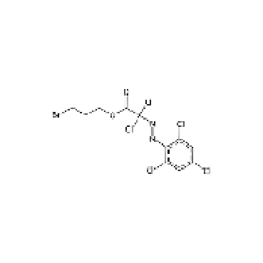 O=C(OCCCBr)C(Cl)(Cl)N=Nc1c(Cl)cc(Cl)cc1Cl